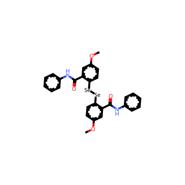 COc1ccc([Se][Se]c2ccc(OC)cc2C(=O)Nc2ccccc2)c(C(=O)Nc2ccccc2)c1